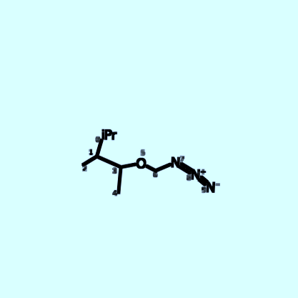 CC(C)C(C)C(C)OCN=[N+]=[N-]